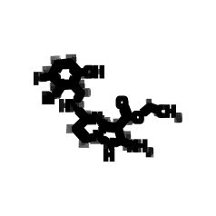 CCOC(=O)C1=C2N=C(NCc3c(O)ccc(F)c3Br)C=CN2NC1N